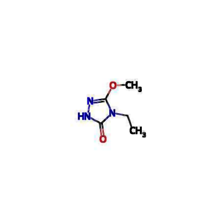 CCn1c(OC)n[nH]c1=O